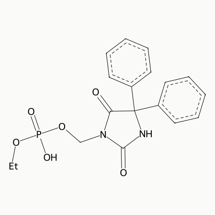 CCOP(=O)(O)OCN1C(=O)NC(c2ccccc2)(c2ccccc2)C1=O